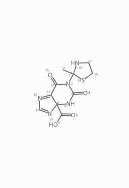 CC1(N2C(=O)NC3(C(=O)O)N=CN=C3C2=O)NCCS1